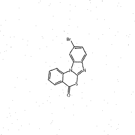 O=c1sc2nc3ccc(Br)cc3n2c2ccccc12